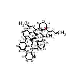 C=C/C=C/C=C\C(C1=CC(/C2=C\CC(c3cccc(-c4cccnc4-c4ccccc4)c3)CCCC(C3CC=CCC3)CC2=C)CC=C1)=C(/C)c1ccccc1